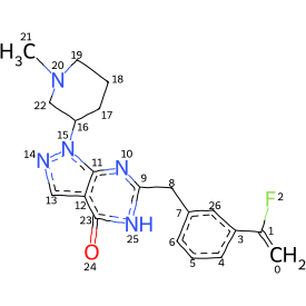 C=C(F)c1cccc(Cc2nc3c(cnn3C3CCCN(C)C3)c(=O)[nH]2)c1